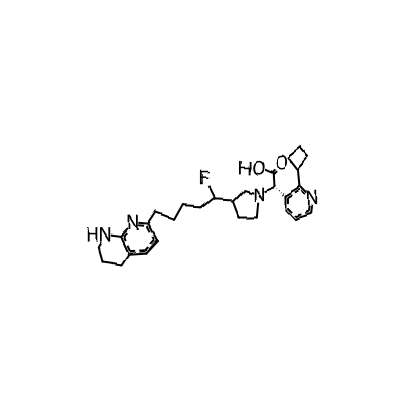 O=C(O)[C@H](c1cccnc1C1CCC1)N1CCC(C(F)CCCCc2ccc3c(n2)NCCC3)C1